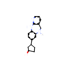 CC(=O)N1Cc2cccnc2Nc2ccc(C3CCC(=O)C3)cc21